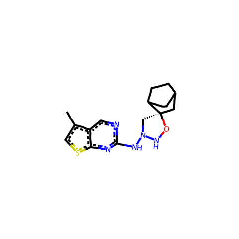 Cc1csc2nc(NN3C[C@]4(CC5CCC4CC5)ON3)ncc12